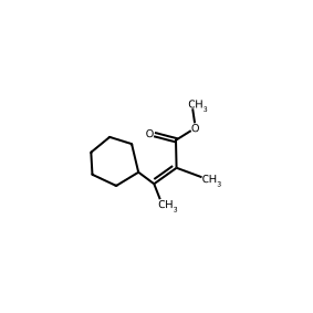 COC(=O)C(C)=C(C)C1CCCCC1